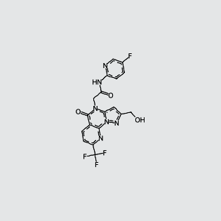 O=C(Cn1c(=O)c2ccc(C(F)(F)F)nc2n2nc(CO)cc12)Nc1ccc(F)cn1